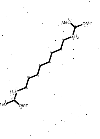 COC(OC)[SiH2]CCCCCCCC[SiH2]C(OC)OC